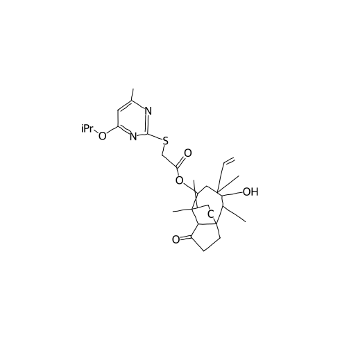 C=CC1(C)CC(OC(=O)CSc2nc(C)cc(OC(C)C)n2)C2(C)C(C)CCC3(CCC(=O)C32)C(C)C1O